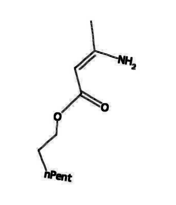 CCCCCCCOC(=O)C=C(C)N